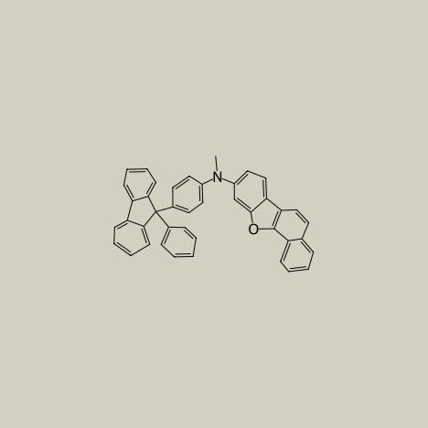 CN(c1ccc(C2(c3ccccc3)c3ccccc3-c3ccccc32)cc1)c1ccc2c(c1)oc1c3ccccc3ccc21